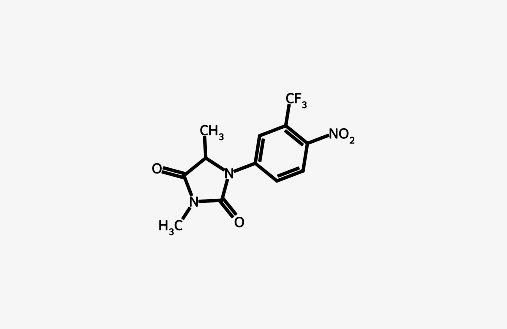 CC1C(=O)N(C)C(=O)N1c1ccc([N+](=O)[O-])c(C(F)(F)F)c1